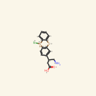 NCC(CC(=O)O)c1ccc2c(c1)Sc1ccccc1[SH]2Br